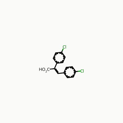 O=C(O)C(=Cc1ccc(Cl)cc1)c1ccc(Cl)cc1